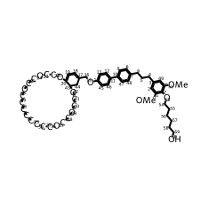 COc1cc(CCCc2ccc(-c3ccc(OCC4=C=C=C5OCCOCCOCCCCCCCCOCCOCCOC5C4)cc3)cc2)cc(OC)c1OCCCCCCO